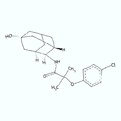 CC(C)(Oc1ccc(Cl)cc1)C(=O)N[C@H]1[C@@H]2CC3C[C@H]1C[C@](O)(C3)C2